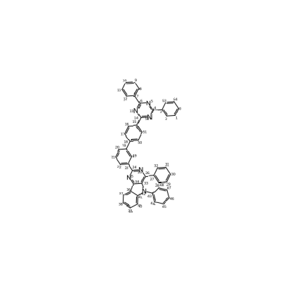 c1ccc(-c2nc(-c3ccccc3)nc(-c3ccc(-c4cccc(-c5nc(-c6ccccc6)c6c(n5)c5ccccc5n6-c5ccccc5)c4)cc3)n2)cc1